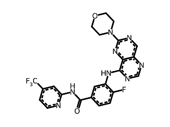 O=C(Nc1cc(C(F)(F)F)ccn1)c1ccc(F)c(Nc2ncnc3cnc(N4CCOCC4)nc23)c1